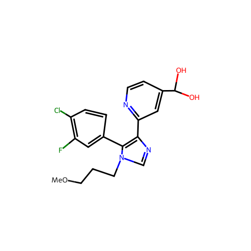 COCCCn1cnc(-c2cc(C(O)O)ccn2)c1-c1ccc(Cl)c(F)c1